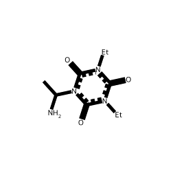 CCn1c(=O)n(CC)c(=O)n(C(C)N)c1=O